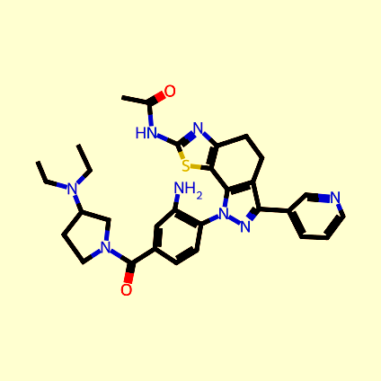 CCN(CC)C1CCN(C(=O)c2ccc(-n3nc(-c4cccnc4)c4c3-c3sc(NC(C)=O)nc3CC4)c(N)c2)C1